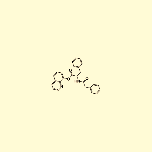 O=C(Cc1ccccc1)NC(Cc1ccccc1)C(=O)Oc1cccc2cccnc12